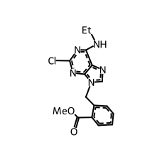 CCNc1nc(Cl)nc2c1ncn2Cc1ccccc1C(=O)OC